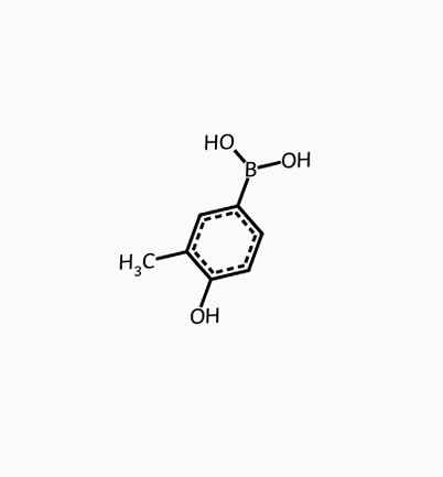 Cc1cc(B(O)O)ccc1O